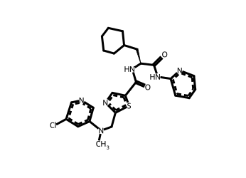 CN(Cc1ncc(C(=O)N[C@@H](CC2CCCCC2)C(=O)Nc2ccccn2)s1)c1cncc(Cl)c1